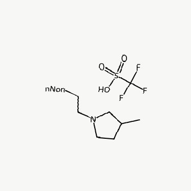 CCCCCCCCCCCN1CCC(C)C1.O=S(=O)(O)C(F)(F)F